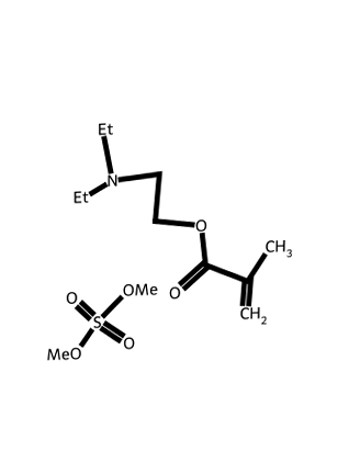 C=C(C)C(=O)OCCN(CC)CC.COS(=O)(=O)OC